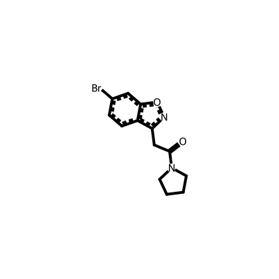 O=C(Cc1noc2cc(Br)ccc12)N1CCCC1